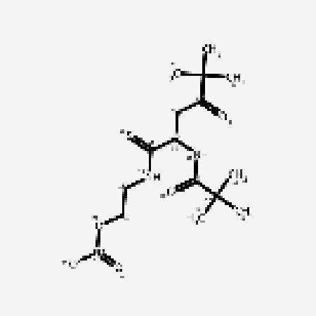 CC(C)(C)C(=O)C[C@@H](NC(=O)C(C)(C)C)C(=S)NCCO[N+](=O)[O-]